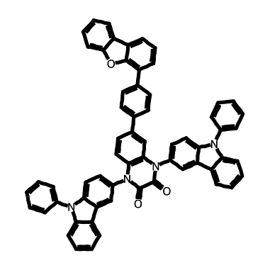 O=c1c(=O)n(-c2ccc3c(c2)c2ccccc2n3-c2ccccc2)c2cc(-c3ccc(-c4cccc5c4oc4ccccc45)cc3)ccc2n1-c1ccc2c(c1)c1ccccc1n2-c1ccccc1